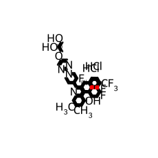 CC1(C)Cc2nc(C3CCN(c4ncc(OC[C@H](O)CO)cn4)CC3)c([C@@H](F)c3ccc(C(F)(F)F)cc3)c(C3CCC(F)(F)CC3)c2[C@@H](O)C1.Cl.Cl